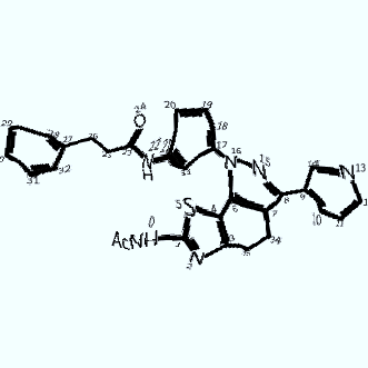 CC(=O)Nc1nc2c(s1)-c1c(c(-c3cccnc3)nn1-c1cccc(NC(=O)CCc3ccccc3)c1)CC2